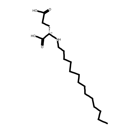 CCCCCCCCCCCCCCN[C@@H](CCC(=O)O)C(=O)O